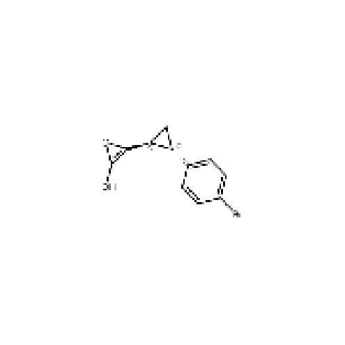 OC1=C([C@H]2C[C@@H]2c2ccc(Br)cc2)O1